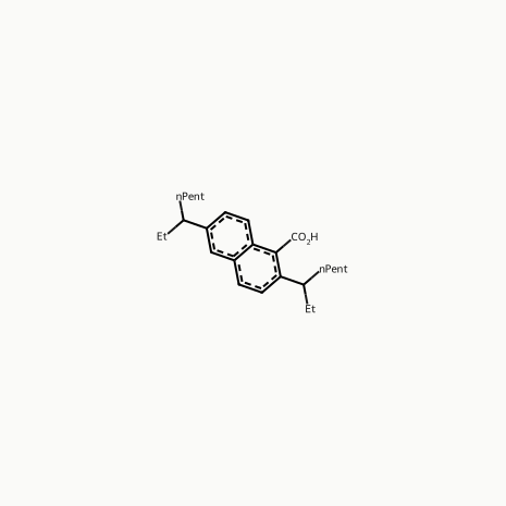 CCCCCC(CC)c1ccc2c(C(=O)O)c(C(CC)CCCCC)ccc2c1